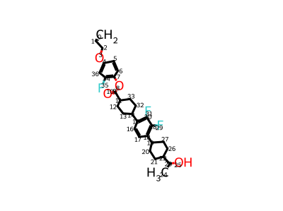 C=CCOc1ccc(OC(=O)C2CCC(c3ccc(C4CCC(C(C)O)CC4)c(F)c3F)CC2)c(F)c1